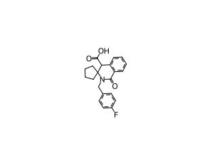 O=C(O)C1c2ccccc2C(=O)N(Cc2ccc(F)cc2)C12CCCC2